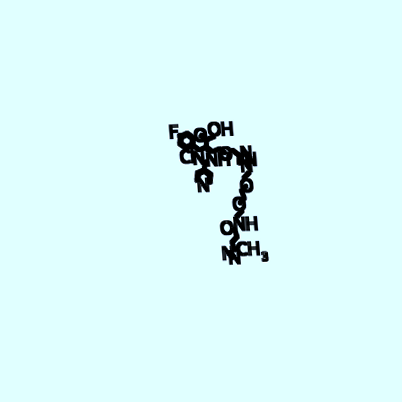 CC1(CCC(=O)NCCOCCOCCn2cc(COCC3=C(C(=O)CO)C(c4ccc(F)cc4Cl)N=C(c4ccncc4)N3)nn2)N=N1